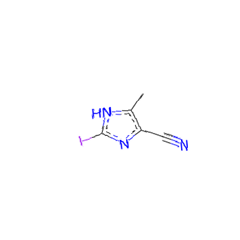 Cc1[nH]c(I)nc1C#N